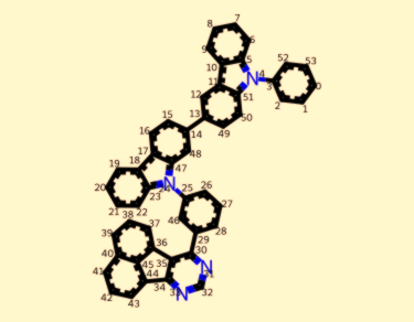 c1ccc(-n2c3ccccc3c3cc(-c4ccc5c6ccccc6n(-c6cccc(-c7ncnc8c7-c7cccc9cccc-8c79)c6)c5c4)ccc32)cc1